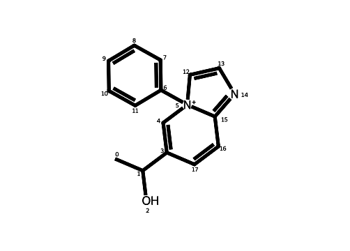 CC(O)C1=C[N+]2(c3ccccc3)C=CN=C2C=C1